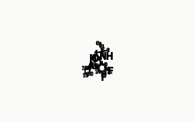 C#CC(C)(C)NC(=O)c1cc(F)c(F)cc1[AsH]C1CCC1